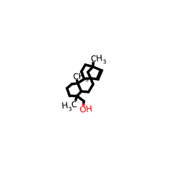 CC12C=CC3(CCC4C(C)(CO)CCCC4(C)C3CC1)C2